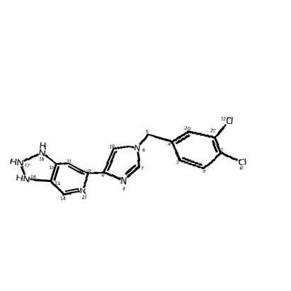 Clc1ccc(Cn2cnc(-c3cc4c(cn3)NNN4)c2)cc1Cl